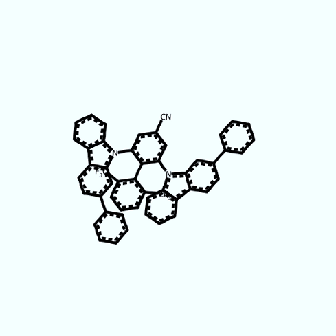 N#Cc1cc(-n2c3ccccc3c3ccc(-c4ccccc4)cc32)c(-c2c(C(F)(F)F)cccc2C(F)(F)F)c(-n2c3ccccc3c3ccc(-c4ccccc4)cc32)c1